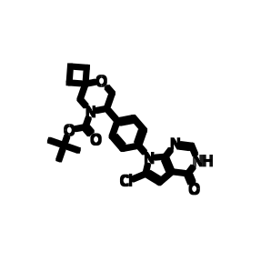 CC(C)(C)OC(=O)N1CC2(CCC2)OCC1c1ccc(-n2c(Cl)cc3c(=O)[nH]cnc32)cc1